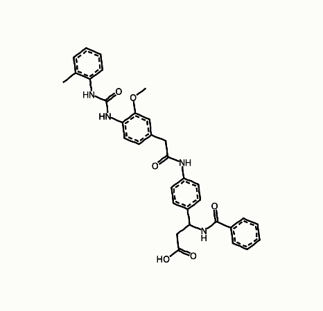 COc1cc(CC(=O)Nc2ccc(C(CC(=O)O)NC(=O)c3ccccc3)cc2)ccc1NC(=O)Nc1ccccc1C